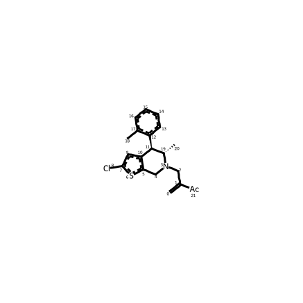 C=C(CN1Cc2sc(Cl)cc2[C@@H](c2ccccc2C)[C@@H]1C)C(C)=O